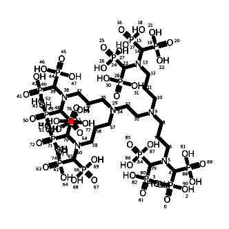 O=P(O)(O)C(N(CCCN(CCCN(C(P(=O)(O)O)P(=O)(O)O)C(P(=O)(O)O)P(=O)(O)O)CCN(CCCN(C(P(=O)(O)O)P(=O)(O)O)C(P(=O)(O)O)P(=O)(O)O)CCCN(C(P(=O)(O)O)P(=O)(O)O)C(P(=O)(O)O)P(=O)(O)O)C(P(=O)(O)O)P(=O)(O)O)P(=O)(O)O